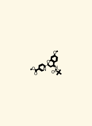 COC(=O)c1ccc([C@H]2CC(=N[S@@+]([O-])C(C)(C)C)c3ccc(OC)cc3O2)nc1